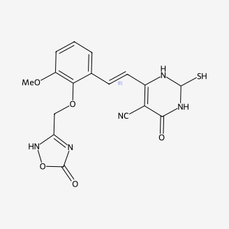 COc1cccc(/C=C/C2=C(C#N)C(=O)NC(S)N2)c1OCc1nc(=O)o[nH]1